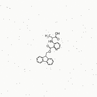 C[C@H](Nc1cccnc1C(=O)OCC1c2ccccc2-c2ccccc21)C(=O)O